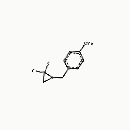 COc1ccc(C[C]2CC2(Cl)Cl)cc1